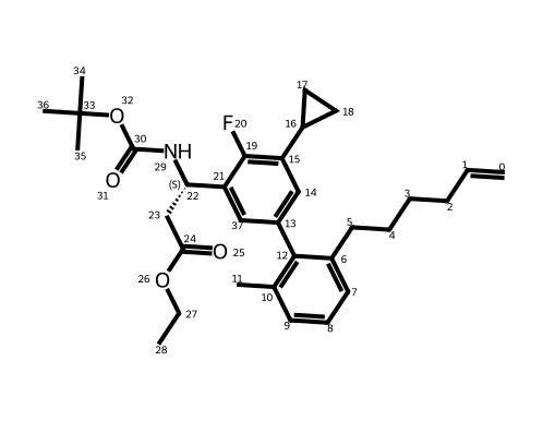 C=CCCCCc1cccc(C)c1-c1cc(C2CC2)c(F)c([C@H](CC(=O)OCC)NC(=O)OC(C)(C)C)c1